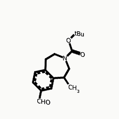 CC1CN(C(=O)OC(C)(C)C)CCc2ccc(C=O)cc21